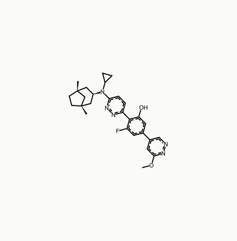 COc1cc(-c2cc(O)c(-c3ccc(N(C4CC4)[C@H]4C[C@]5(C)CC[C@](C)(C4)C5)nn3)c(F)c2)cnn1